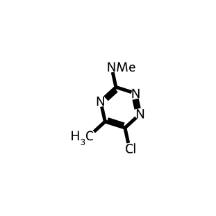 CNc1nnc(Cl)c(C)n1